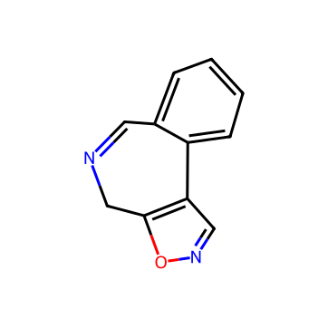 C1=NCc2oncc2-c2ccccc21